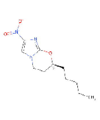 CCCCC[C@H]1CCn2cc([N+](=O)[O-])nc2O1